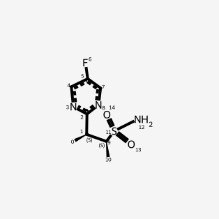 C[C@@H](c1ncc(F)cn1)[C@H](C)S(N)(=O)=O